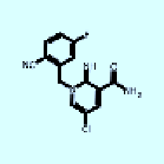 N#Cc1ccc(F)cc1Cn1cc(Cl)cc(C(N)=O)c1=N